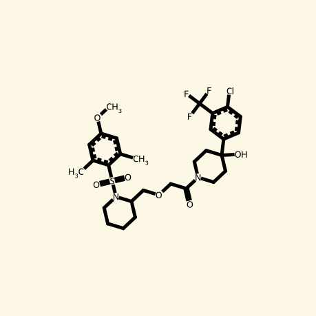 COc1cc(C)c(S(=O)(=O)N2CCCCC2COCC(=O)N2CCC(O)(c3ccc(Cl)c(C(F)(F)F)c3)CC2)c(C)c1